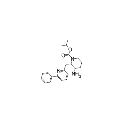 CC(C)OC(=O)N1CCC[C@H](N)[C@@H]1Cc1cccc(-c2ccccc2)n1